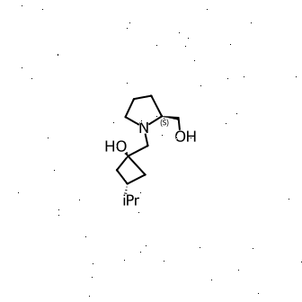 CC(C)[C@H]1C[C@@](O)(CN2CCC[C@H]2CO)C1